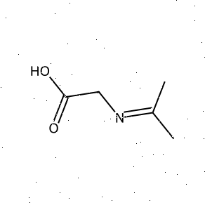 CC(C)=NCC(=O)O